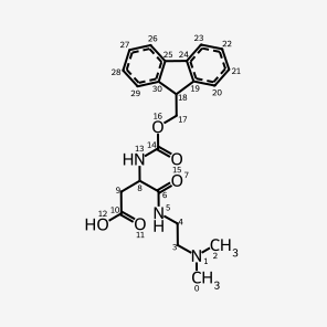 CN(C)CCNC(=O)C(CC(=O)O)NC(=O)OCC1c2ccccc2-c2ccccc21